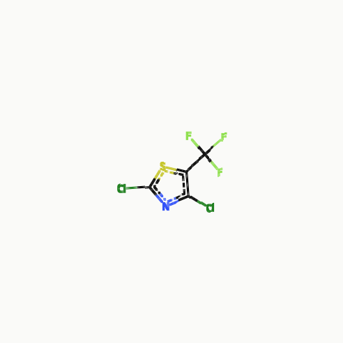 FC(F)(F)c1sc(Cl)nc1Cl